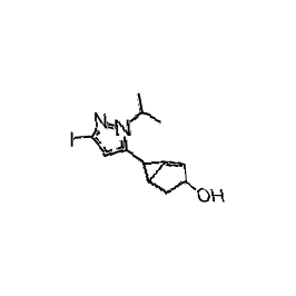 CC(C)n1nc(I)cc1C1C2=CC(O)CC21